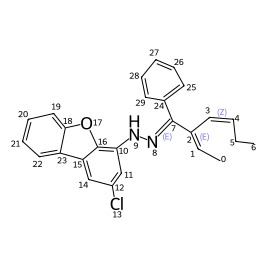 C/C=C(\C=C/CC)C(=N/Nc1cc(Cl)cc2c1oc1ccccc12)/c1ccccc1